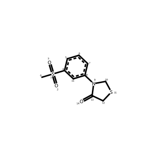 CS(=O)(=O)c1cccc(N2CSCC2=O)c1